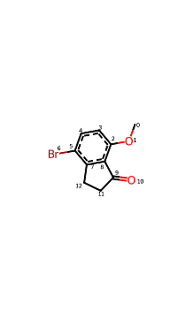 COc1ccc(Br)c2c1C(=O)CC2